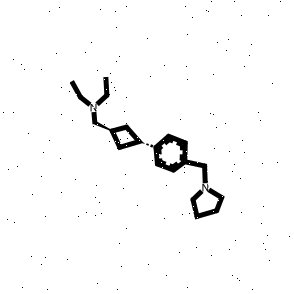 CCN(CC)C[C@H]1C[C@H](c2ccc(CN3CCCC3)cc2)C1